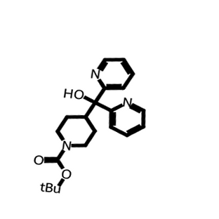 CC(C)(C)OC(=O)N1CCC(C(O)(c2ccccn2)c2ccccn2)CC1